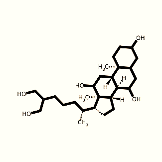 C[C@H](CCCC(CO)CO)[C@H]1CC[C@H]2[C@@H]3C(O)CC4CC(O)CC[C@]4(C)[C@H]3CC(O)[C@]12C